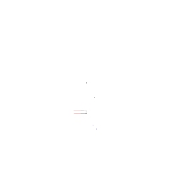 C#CCC(Br)C(N)=O